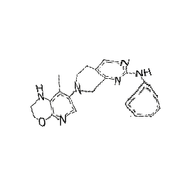 Cc1c(N2CCc3cnc(Nc4c[c]ccc4)nc3C2)cnc2c1NCCO2